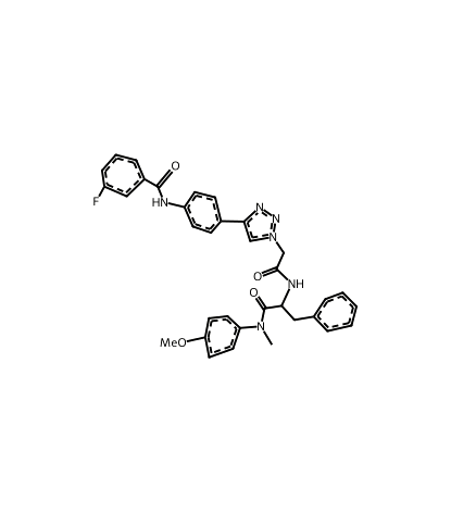 COc1ccc(N(C)C(=O)C(Cc2ccccc2)NC(=O)Cn2cc(-c3ccc(NC(=O)c4cccc(F)c4)cc3)nn2)cc1